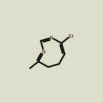 CCC1=C/CC/C(C)=N/C=N\1